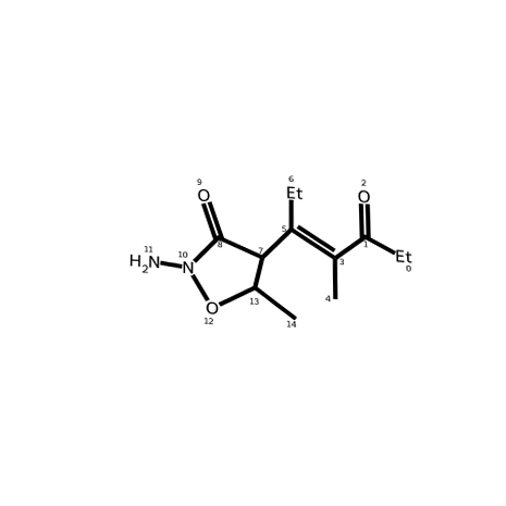 CCC(=O)C(C)=C(CC)C1C(=O)N(N)OC1C